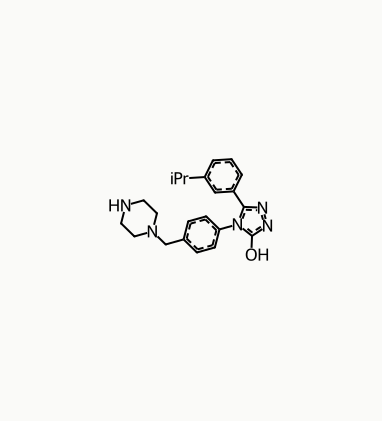 CC(C)c1cccc(-c2nnc(O)n2-c2ccc(CN3CCNCC3)cc2)c1